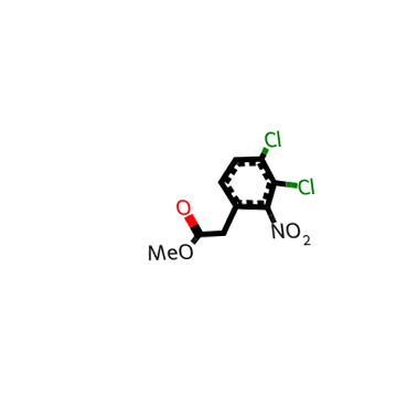 COC(=O)Cc1ccc(Cl)c(Cl)c1[N+](=O)[O-]